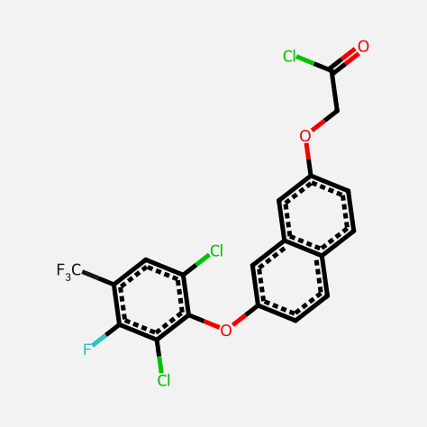 O=C(Cl)COc1ccc2ccc(Oc3c(Cl)cc(C(F)(F)F)c(F)c3Cl)cc2c1